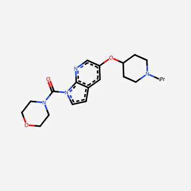 CC(C)N1CCC(Oc2cnc3c(ccn3C(=O)N3CCOCC3)c2)CC1